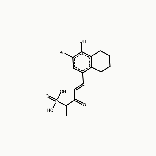 CC(C(=O)/C=C/c1cc(C(C)(C)C)c(O)c2c1CCCC2)P(=O)(O)O